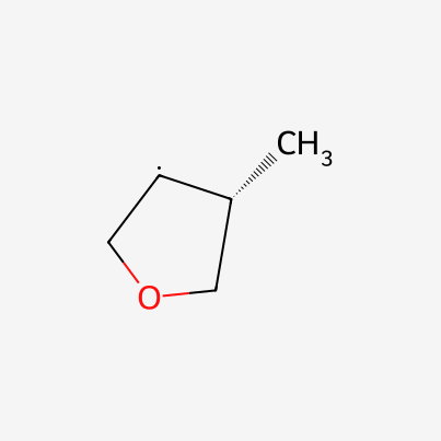 C[C@H]1[CH]COC1